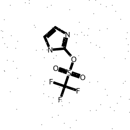 O=S(=O)(OC1=NC=C[N]1)C(F)(F)F